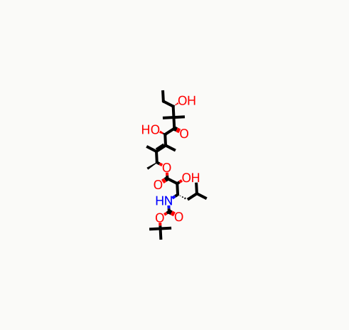 CC[C@H](O)C(C)(C)C(=O)[C@H](O)/C(C)=C(\C)[C@H](C)OC(=O)C(O)[C@H](CC(C)C)NC(=O)OC(C)(C)C